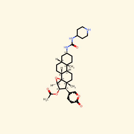 CC(=O)O[C@H]1[C@H]2O[C@]23[C@@H]2CC[C@@H]4C[C@@H](NC(=O)NC5CCNCC5)CC[C@]4(C)[C@H]2CC[C@]3(C)[C@H]1c1ccc(=O)oc1